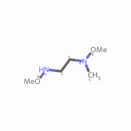 CONCCN(C)OC